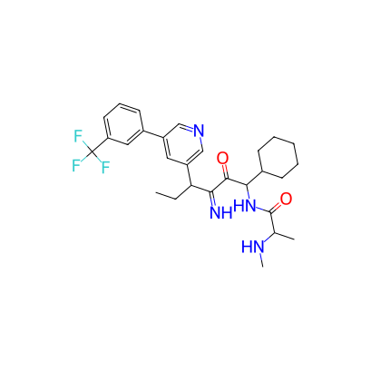 CCC(C(=N)C(=O)C(NC(=O)C(C)NC)C1CCCCC1)c1cncc(-c2cccc(C(F)(F)F)c2)c1